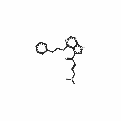 CN(C)CC=CC(=O)c1c[nH]c2ncnc(OCCc3ccccc3)c12